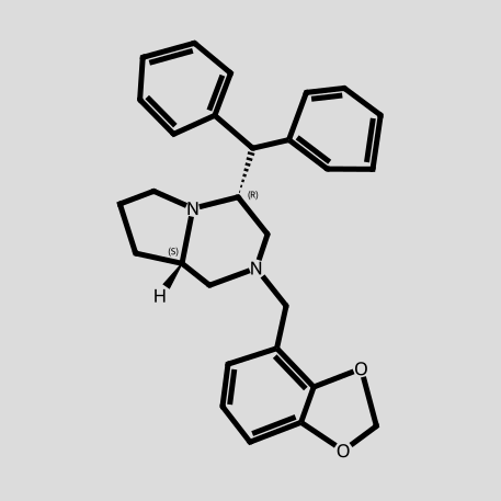 c1ccc(C(c2ccccc2)[C@@H]2CN(Cc3cccc4c3OCO4)C[C@@H]3CCCN32)cc1